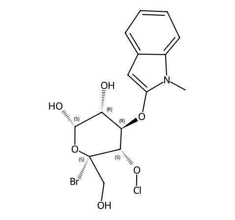 Cn1c(O[C@@H]2[C@@H](O)[C@@H](O)O[C@](Br)(CO)[C@H]2OCl)cc2ccccc21